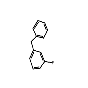 Fc1[c]ccc(Cc2ccccc2)c1